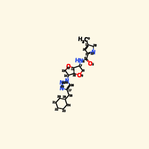 CC1=CC(C(=O)NC2COC3C2OCC3n2cc(CC3CCCCC3)nn2)=NC1